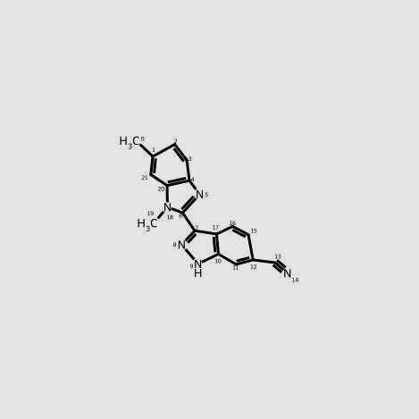 Cc1ccc2nc(-c3n[nH]c4cc(C#N)ccc34)n(C)c2c1